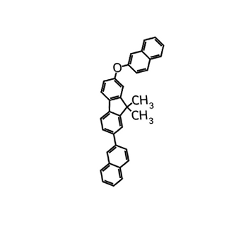 CC1(C)c2cc(Oc3ccc4ccccc4c3)ccc2-c2ccc(-c3ccc4ccccc4c3)cc21